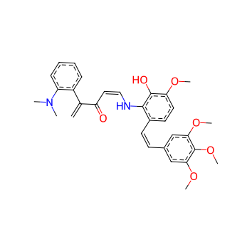 C=C(C(=O)/C=C\Nc1c(/C=C\c2cc(OC)c(OC)c(OC)c2)ccc(OC)c1O)c1ccccc1N(C)C